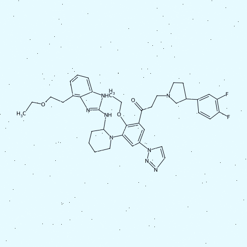 CCOCCc1cccc2[nH]c(NC3CCCCN3c3cc(-n4ccnn4)cc(C(=O)CCN4CCC(c5ccc(F)c(F)c5)C4)c3OCC)nc12